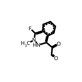 CN1NC(C(=O)C=O)=c2ccccc2=C1F